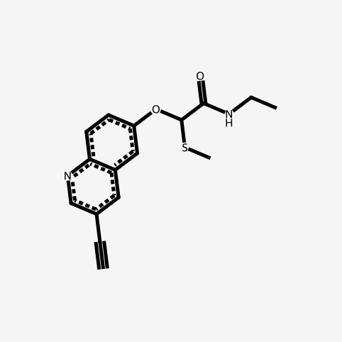 C#Cc1cnc2ccc(OC(SC)C(=O)NCC)cc2c1